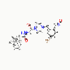 O=NCc1ccc(Br)cc1CN1CCN(C(=O)CNC(=O)CC23CC4CC(CC(C4)C2)C3)CC1